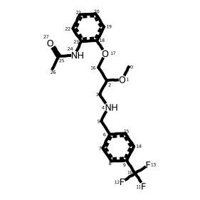 COC(CNCc1ccc(C(F)(F)F)cc1)COc1ccccc1NC(C)=O